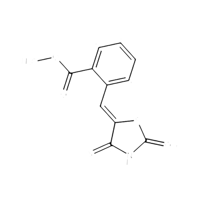 COC(=O)c1ccccc1C=C1SC(=O)NC1=S